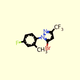 Cc1cc(F)ccc1-n1nc(C(F)(F)F)cc1Br